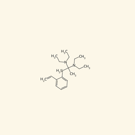 C=Cc1ccccc1[SiH2]C(C)(N(CC)CC)N(CC)CC